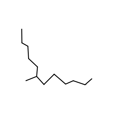 C[CH]CCCCC(C)CCCCC